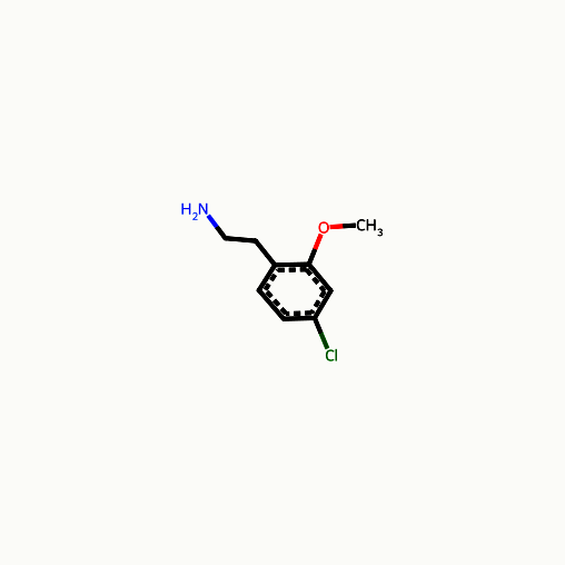 COc1cc(Cl)ccc1CCN